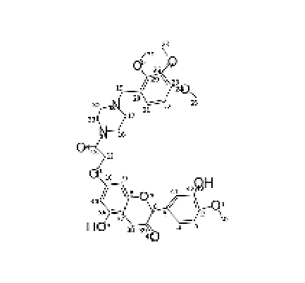 COc1ccc(C2Oc3cc(OCC(=O)N4CCN(Cc5ccc(OC)c(OC)c5OC)CC4)cc(O)c3CC2=O)cc1O